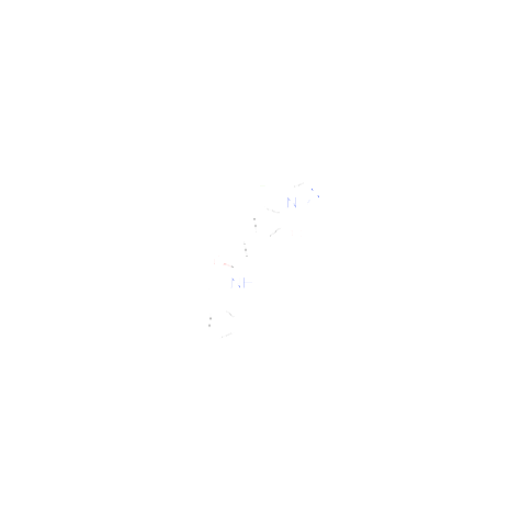 COc1cc(C=CC(=O)NC2CCc3ccccc32)cc(F)c1-n1ccnc1